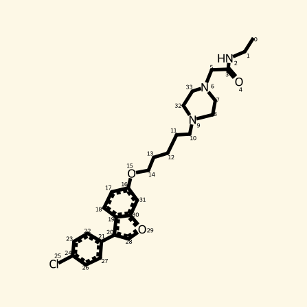 CCNC(=O)CN1CCN(CCCCCOc2ccc3c(-c4ccc(Cl)cc4)coc3c2)CC1